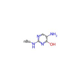 CCCCNc1ncc(N)c(O)n1